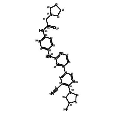 N#Cc1cc(-c2ccnc(Nc3ccc(NC(=O)CN4CCCC4)nc3)n2)cnc1N1CCC(F)C1